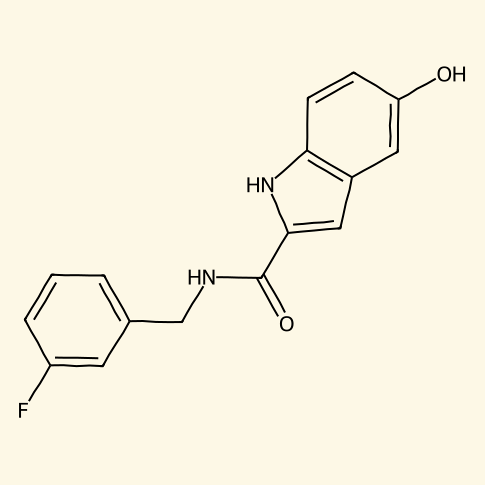 O=C(NCc1cccc(F)c1)c1cc2cc(O)ccc2[nH]1